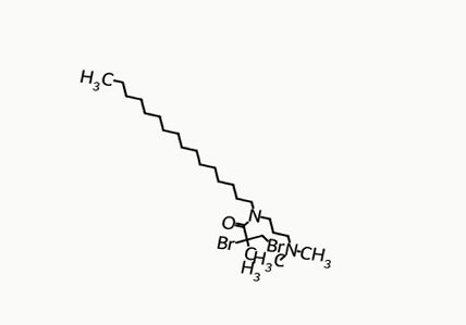 CCCCCCCCCCCCCCCCN(CCCN(C)C)C(=O)C(C)(Br)CBr